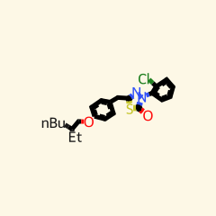 CCCCC(CC)COc1ccc(Cc2nn(-c3ccccc3Cl)c(=O)s2)cc1